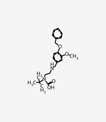 COc1cc(CNCCN(C(=O)O)C(C)(C)C)ccc1OCc1ccccc1